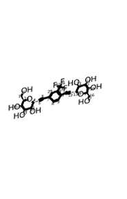 OC[C@H]1O[C@H](C#Cc2ccc(C#C[C@H]3O[C@H](CO)[C@@H](O)[C@H](O)[C@@H]3O)c(C(F)(F)F)c2)[C@@H](O)[C@@H](O)[C@@H]1O